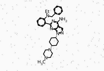 CCN(Cc1ccccc1)c1ccccc1-c1nc(N)c2cnn([C@H]3CC[C@@H](N4CCN(C)CC4)CC3)c2n1